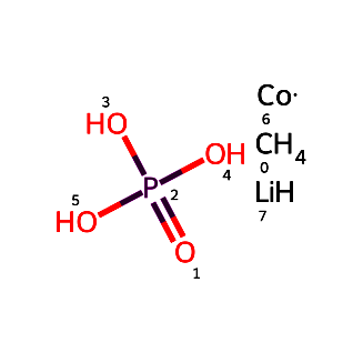 C.O=P(O)(O)O.[Co].[LiH]